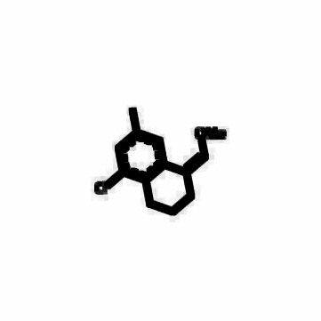 CO/C=C1/CCCc2c(Cl)cc(C)cc21